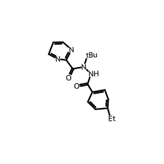 CCc1ccc(C(=O)NN(C(=O)c2ncccn2)C(C)(C)C)cc1